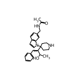 CC(=O)NCc1ccc2ccn(C3(C(=Cc4ccccc4)C(C)O)CCNCC3)c2c1